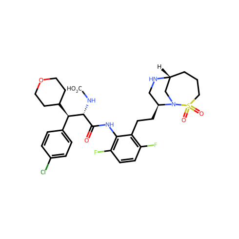 O=C(O)N[C@H](C(=O)Nc1c(F)ccc(F)c1CC[C@H]1CN[C@@H]2CCCS(=O)(=O)N1C2)[C@@H](c1ccc(Cl)cc1)C1CCOCC1